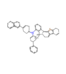 C[SiH]1c2c(cccc2N(C2=CCC(c3ccccc3)CC2)C2CC=C(c3ccc4ccccc4c3)CC2)C2=c3sc4c(c3=CCC21)C=CCC4